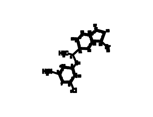 CC(Sc1nc(N)cc(Cl)n1)c1cc2c(Br)csc2cn1